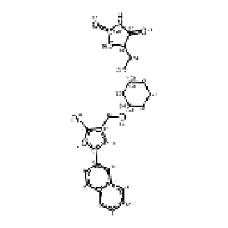 CC(C)c1oc(-c2ccc3ccccc3c2)nc1CO[C@H]1CCC[C@@H](CCC2SC(=O)NC2=O)C1